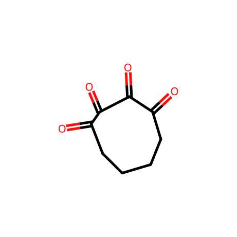 O=C1CCCCC(=O)C(=O)C1=O